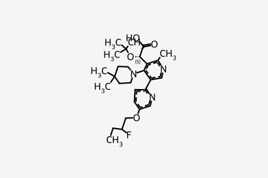 CCC(F)COc1ccc(-c2cnc(C)c([C@H](OC(C)(C)C)C(=O)O)c2N2CCC(C)(C)CC2)nc1